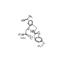 COc1ccc([C@H](OC)C(=O)NCc2ccc(C(=N)N)cc2OCC(N)=O)c(F)c1.Cl